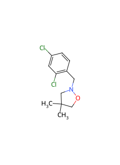 CC1(C)CON(Cc2ccc(Cl)cc2Cl)C1